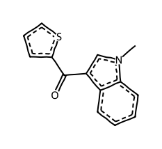 Cn1cc(C(=O)c2cccs2)c2ccccc21